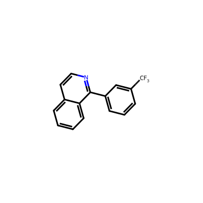 FC(F)(F)c1cccc(-c2nccc3ccccc23)c1